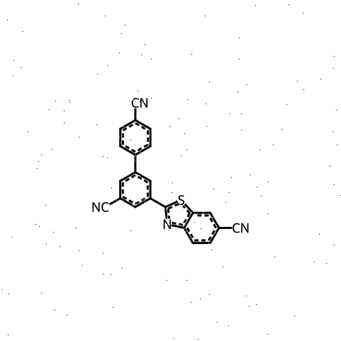 N#Cc1ccc(-c2cc(C#N)cc(-c3nc4ccc(C#N)cc4s3)c2)cc1